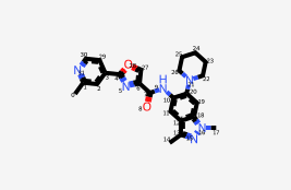 Cc1cc(-c2nc(C(=O)Nc3cc4c(C)nn(C)c4cc3N3CC[CH]CC3)co2)ccn1